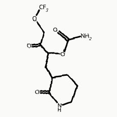 NC(=O)OC(CC1CCCNC1=O)C(=O)COC(F)(F)F